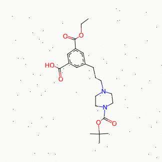 CCOC(=O)c1cc(CCCN2CCN(C(=O)OC(C)(C)C)CC2)cc(C(=O)O)c1